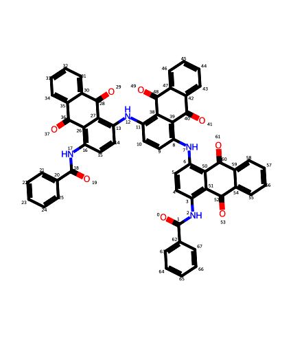 O=C(Nc1ccc(Nc2ccc(Nc3ccc(NC(=O)c4ccccc4)c4c3C(=O)c3ccccc3C4=O)c3c2C(=O)c2ccccc2C3=O)c2c1C(=O)c1ccccc1C2=O)c1ccccc1